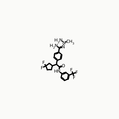 CN(N)/N=C(\N)c1ccc(C(C(=O)Nc2cccc(C(F)(F)F)c2)C2CCC(F)(F)C2)cc1